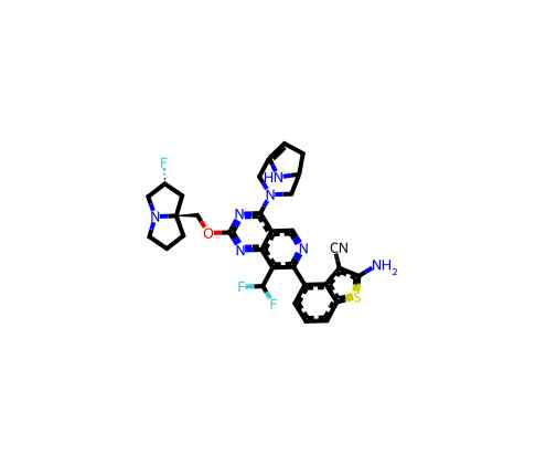 N#Cc1c(N)sc2cccc(-c3ncc4c(N5CC6=CCC(C5)N6)nc(OC[C@@]56CCCN5C[C@H](F)C6)nc4c3C(F)F)c12